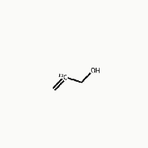 C=[13CH]CO